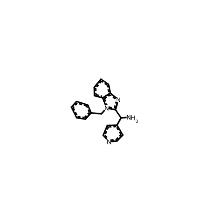 NC(c1ccncc1)c1nc2ccccc2n1Cc1ccccc1